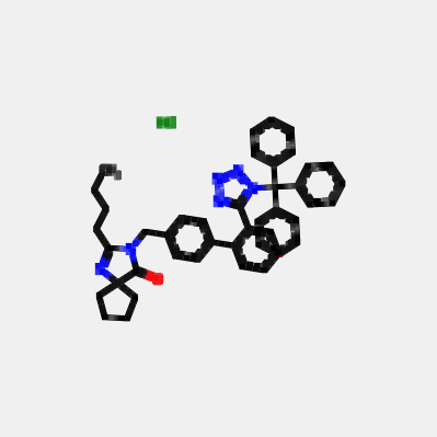 CCCCC1=NC2(CCCC2)C(=O)N1Cc1ccc(-c2ccccc2-c2nnnn2C(c2ccccc2)(c2ccccc2)c2ccccc2)cc1.Cl